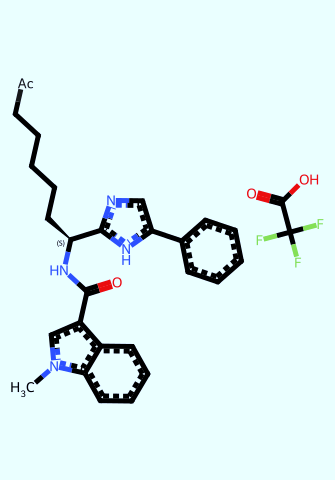 CC(=O)CCCCC[C@H](NC(=O)c1cn(C)c2ccccc12)c1ncc(-c2ccccc2)[nH]1.O=C(O)C(F)(F)F